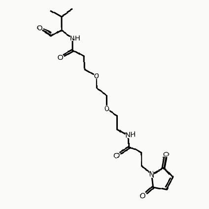 CC(C)C(C=O)NC(=O)CCOCCOCCNC(=O)CCN1C(=O)C=CC1=O